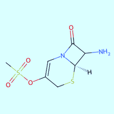 CS(=O)(=O)OC1=CN2C(=O)C(N)[C@H]2SC1